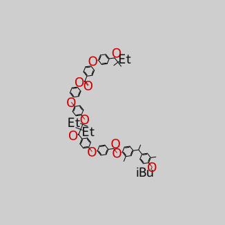 CCC(C)Oc1ccc(C(C)c2ccc(OC(=O)c3ccc(Oc4ccc(C(=O)C(C)(CC)C(C)(CC)Oc5ccc(Oc6ccc(OC(=O)c7ccc(Oc8ccc(C(=O)C(C)(C)CC)cc8)cc7)cc6)cc5)cc4)cc3)c(C)c2)cc1C